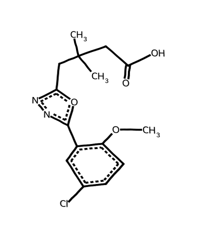 COc1ccc(Cl)cc1-c1nnc(CC(C)(C)CC(=O)O)o1